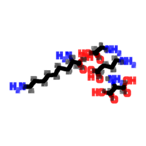 NC(C(=O)O)C(=O)O.NCC(=O)O.NCCCC(=O)O.NCCCCCCCC(N)C(=O)O